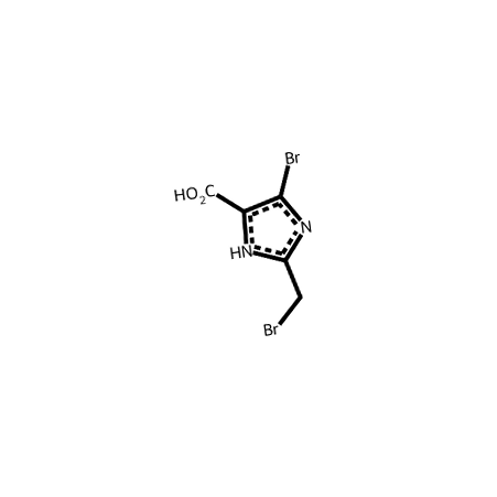 O=C(O)c1[nH]c(CBr)nc1Br